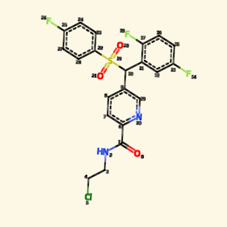 O=C(NCCCl)c1ccc(C(c2cc(F)ccc2F)S(=O)(=O)c2ccc(F)cc2)cn1